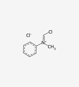 C[N+](=CCl)c1ccccc1.[Cl-]